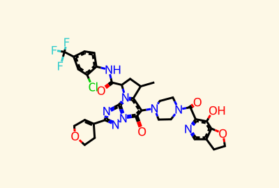 CC1CC(C(=O)Nc2ccc(C(F)(F)F)cc2Cl)n2c1c(N1CCN(C(=O)c3ncc4c(c3O)OCC4)CC1)c(=O)n1nc(C3=CCOCC3)nc21